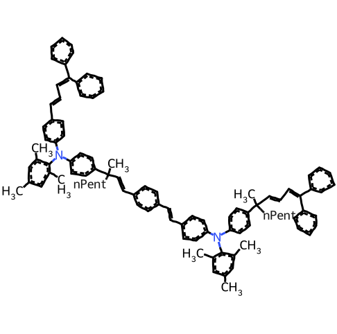 CCCCCC(C)(C=CC=C(c1ccccc1)c1ccccc1)c1ccc(N(c2ccc(C=Cc3ccc(C=CC(C)(CCCCC)c4ccc(N(c5ccc(C=CC=C(c6ccccc6)c6ccccc6)cc5)c5c(C)cc(C)cc5C)cc4)cc3)cc2)c2c(C)cc(C)cc2C)cc1